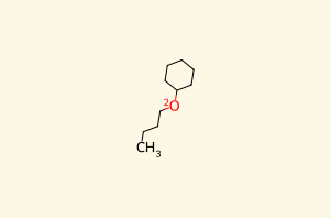 CCCC[2O]C1CCCCC1